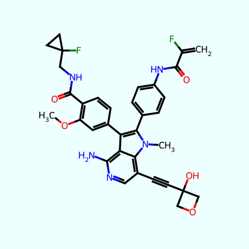 C=C(F)C(=O)Nc1ccc(-c2c(-c3ccc(C(=O)NCC4(F)CC4)c(OC)c3)c3c(N)ncc(C#CC4(O)COC4)c3n2C)cc1